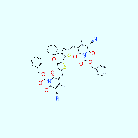 CC1=C(C#N)C(=O)N(C(=O)OCc2ccccc2)C(=O)/C1=C\c1cc2c(s1)-c1sc(/C=C3\C(=O)N(C(=O)OCc4ccccc4)C(=O)C(C#N)=C3C)cc1C1(CCCCC1)O2